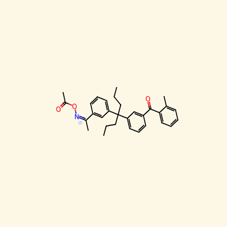 CCCC(CCC)(c1cccc(C(=O)c2ccccc2C)c1)c1cccc(/C(C)=N\OC(C)=O)c1